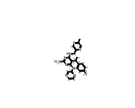 Cc1cnc(CNc2nc(N)nc(Nc3cnccn3)c2C(C)c2ccc(F)cc2)cn1